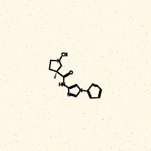 C[C@]1(C(=O)Nc2cn(-c3ccccc3)cn2)CCN(C#N)C1